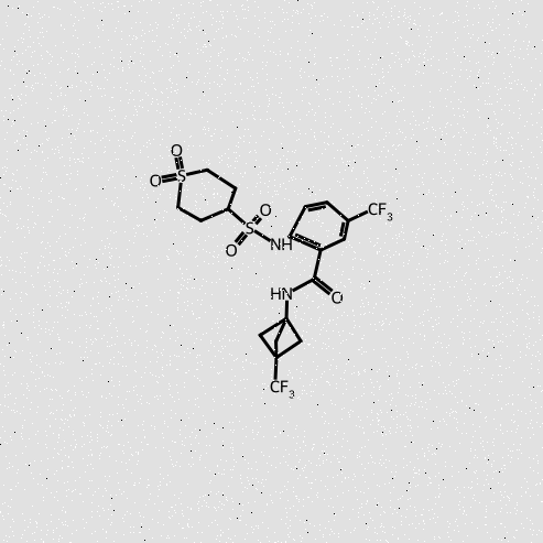 O=C(NC12CC(C(F)(F)F)(C1)C2)c1cc(C(F)(F)F)ccc1NS(=O)(=O)C1CCS(=O)(=O)CC1